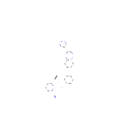 COc1cc(OC)cc(N(CC#Cc2cccc(C#N)n2)c2ccc3ncc(-c4cnn(C)c4)nc3c2)c1